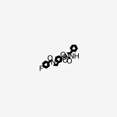 O=C(c1ccc(F)cc1)N1CCc2cc(S(=O)(=O)N3CC(c4ccccc4)NC3=O)ccc21